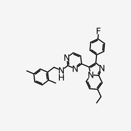 CCc1ccn2c(-c3ccnc(NCc4cc(C)ccc4C)n3)c(-c3ccc(F)cc3)nc2c1